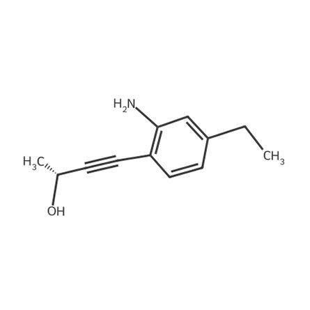 CCc1ccc(C#C[C@@H](C)O)c(N)c1